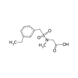 CCc1cccc(CS(=O)(=O)N(C)CC(=O)O)c1